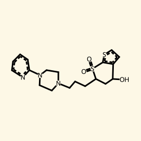 O=S1(=O)c2sccc2C(O)CC1CCCN1CCN(c2ccccn2)CC1